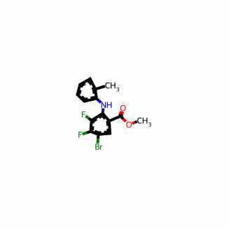 COC(=O)c1cc(Br)c(F)c(F)c1Nc1ccccc1C